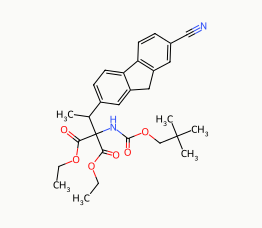 CCOC(=O)C(NC(=O)OCC(C)(C)C)(C(=O)OCC)C(C)c1ccc2c(c1)Cc1cc(C#N)ccc1-2